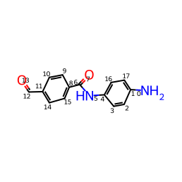 Nc1ccc(NC(=O)c2ccc(C=O)cc2)cc1